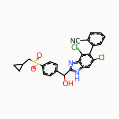 N#Cc1ccccc1-c1c(Cl)cc2[nH]c(C(O)c3ccc(S(=O)(=O)CC4CC4)cc3)nc2c1Cl